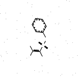 O=S(=O)(Oc1ccccc1)C(F)=C(F)F